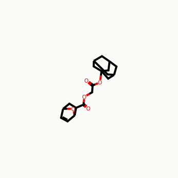 O=C(COC(=O)C1CC2C=CC1O2)OC12CC3CC(CC(C3)C1)C2